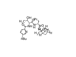 CCCCc1ccc(C(=O)NC(C(=O)N[C@@H](CC(C)C)B2O[C@@H]3C[C@@H]4C[C@@H](C4(C)C)[C@]3(C)O2)C(C)O)nc1